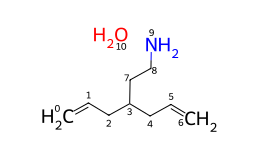 C=CCC(CC=C)CCN.O